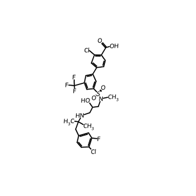 CN(CC(O)CNC(C)(C)Cc1ccc(Cl)c(F)c1)S(=O)(=O)c1cc(-c2ccc(C(=O)O)c(Cl)c2)cc(C(F)(F)F)c1